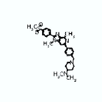 Cc1nc(-c2ccc(CN3CCC(N(C)C)CC3)cc2)cc2c1nc(-c1ccc(S(C)(=O)=O)cc1)n2C